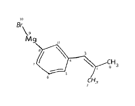 CC(C)=Cc1ccc[c]([Mg][Br])c1